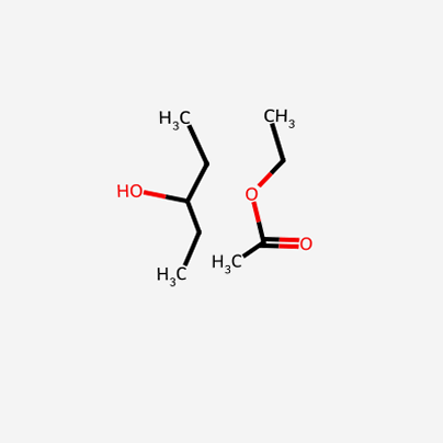 CCC(O)CC.CCOC(C)=O